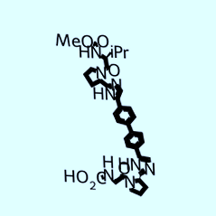 COC(=O)N[C@H](C(=O)N1CCCC1c1ncc(-c2ccc(-c3ccc(-c4cnc([C@@H]5CCCN5C(=O)CNC(=O)O)[nH]4)cc3)cc2)[nH]1)C(C)C